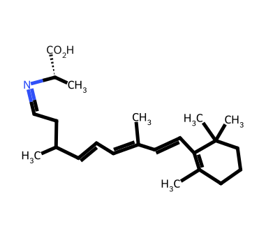 CC1=C(/C=C/C(C)=C/C=C/C(C)C/C=N\[C@@H](C)C(=O)O)C(C)(C)CCC1